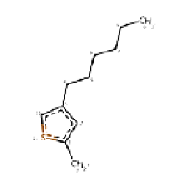 [CH2]c1cc(CCCCCC)cs1